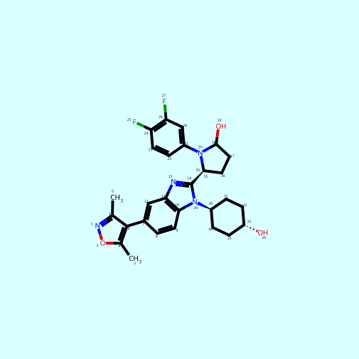 Cc1noc(C)c1-c1ccc2c(c1)nc([C@@H]1CCC(O)N1c1ccc(F)c(F)c1)n2[C@H]1CC[C@H](O)CC1